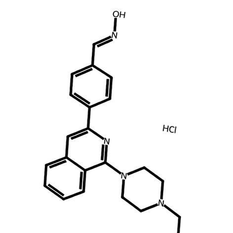 CCN1CCN(c2nc(-c3ccc(C=NO)cc3)cc3ccccc23)CC1.Cl